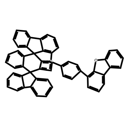 c1ccc2c(c1)-c1ccccc1C21c2ccccc2C2(c3ccccc3-c3cccc(Nc4ccc(-c5cccc6c5oc5ccccc56)cc4)c32)c2ccccc21